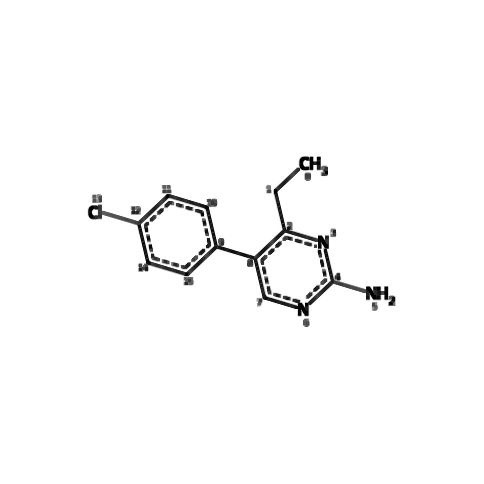 CCc1nc(N)ncc1-c1ccc(Cl)cc1